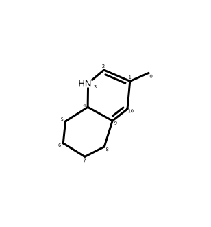 CC1=CNC2CCCCC2=C1